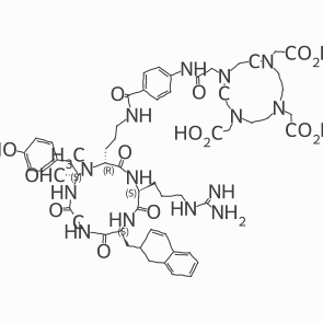 CN1[C@H](CCCNC(=O)c2ccc(NC(=O)CN3CCN(CC(=O)O)CCN(CC(=O)O)CCN(CC(=O)O)CC3)cc2)C(=O)N[C@@H](CCCNC(=N)N)C(=O)N[C@@H](CC2C=Cc3ccccc3C2)C(=O)NCC(=O)N[C@@]1(C=O)Cc1ccc(O)cc1